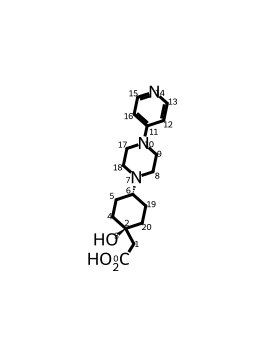 O=C(O)C[C@]1(O)CC[C@H](N2CCN(c3ccncc3)CC2)CC1